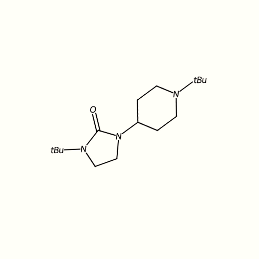 CC(C)(C)N1CCC(N2CCN(C(C)(C)C)C2=O)CC1